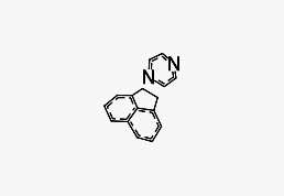 c1cc2c3c(cccc3c1)CC2.c1cnccn1